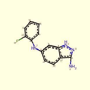 Nc1n[nH]c2cc(Nc3ccccc3F)ccc12